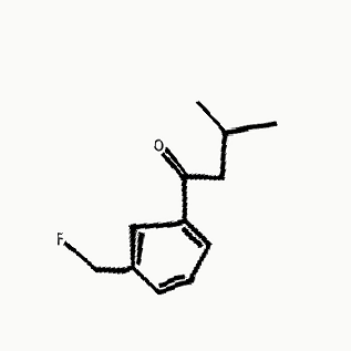 CC(C)CC(=O)c1cccc(CF)c1